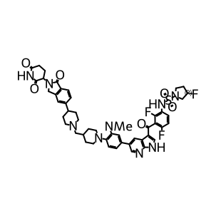 CNc1cc(-c2cnc3[nH]cc(C(=O)c4c(F)ccc(NS(=O)(=O)N5CC[C@@H](F)C5)c4F)c3c2)ccc1N1CCC(CN2CCC(c3ccc4c(c3)CN(C3CCC(=O)NC3=O)C4=O)CC2)CC1